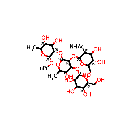 CCCO[C@@H]1OC(C)[C@H](O)C(O)[C@@H]1O[C@@H]1OC(C)[C@H](O)C(O[C@H]2O[C@@H](CO)[C@@H](O)C(O)C2O)[C@@H]1O[C@@H]1OC(CO)[C@@H](O)C(O)[C@@H]1NC(C)=O